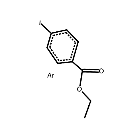 CCOC(=O)c1ccc(I)cc1.[Ar]